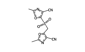 Cc1nc(C#N)c(CS(=O)(=O)c2oc(C)nc2C#N)o1